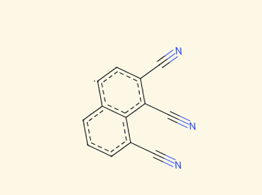 N#Cc1c[c]c2cccc(C#N)c2c1C#N